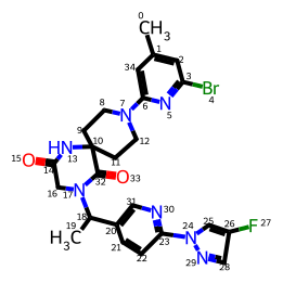 Cc1cc(Br)nc(N2CCC3(CC2)NC(=O)CN(C(C)c2ccc(-n4cc(F)cn4)nc2)C3=O)c1